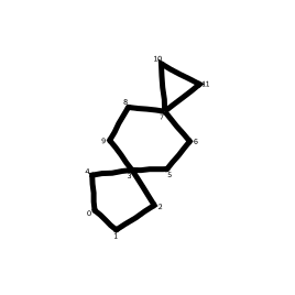 C1CCC2(C1)CCC1(CC2)CC1